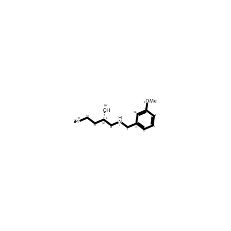 COc1cccc(CNC[C@@H](O)[CH]CC(C)C)c1